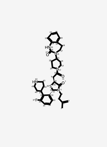 C=C(C)CCN1C(=O)[C@H](CC(=O)N2CCC(N3CCc4ccccc4NC3=O)CC2)S[C@H]1c1cccc(F)c1C1CCNCC1